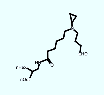 CCCCCCCCC(CCCCCC)CNC(=O)CCCCCN(CCCC=O)C1CC1